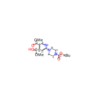 COC(=O)c1cnc(N2CCN(C(=O)OC(C)(C)C)CC2)cc1C(O)OC